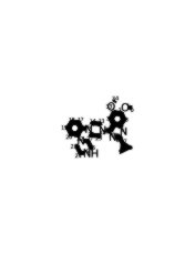 COc1cc2nc(C3CC3)nc(N3CCN(c4ccccc4N4CCNCC4)CC3)c2cc1OC